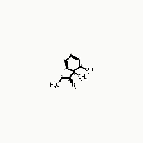 CCC(=O)C1(C)C=CC=CC1O